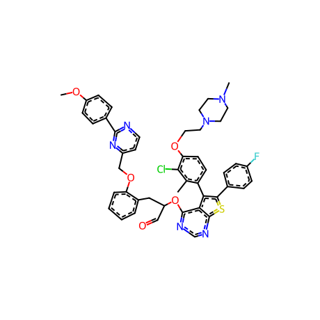 COc1ccc(-c2nccc(COc3ccccc3CC(C=O)Oc3ncnc4sc(-c5ccc(F)cc5)c(-c5ccc(OCCN6CCN(C)CC6)c(Cl)c5C)c34)n2)cc1